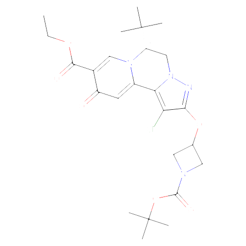 CCOC(=O)c1cn2c(cc1=O)-c1c(Cl)c(OC3CN(C(=O)OC(C)(C)C)C3)nn1C[C@H]2C(C)(C)C